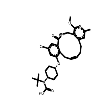 COc1nc(C)cc2c1CNC(=O)c1cc(Cl)cc(O[C@H]3CC[C@H](N(C(=O)O)C(C)(C)C)CC3)c1C/C=C\CC2